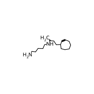 C=C(CCC1C#CCCCCC1)NCCCCCN